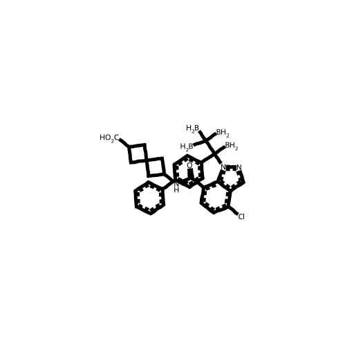 BC(B)(B)C(B)(c1ccc(-c2ccccc2)cc1)n1ncc2c(Cl)ccc(C(=O)NC3CC4(C3)CC(C(=O)O)C4)c21